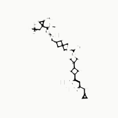 CN/C(=N\NCC1CC2(C1)CN(C(=O)N1CC(C3CC(/C(N)=C/C(N)CC4CC4)C3)C1)C2)C1(CC(F)(F)F)C[C@H]1C